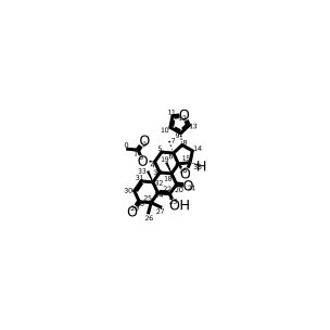 CC(=O)O[C@@H]1C[C@@]2(C)[C@H](c3ccoc3)C[C@H]3O[C@]32[C@]2(C)C(=O)C(O)=C3C(C)(C)C(=O)C=C[C@]3(C)C12